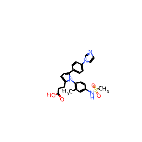 Cc1cc(NS(C)(=O)=O)ccc1-n1c(CCC(=O)O)ccc1-c1ccc(-n2ccnc2)cc1